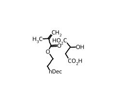 C=C(C)C(=O)OCCCCCCCCCCCC.O=C(O)CC(O)C(=O)O